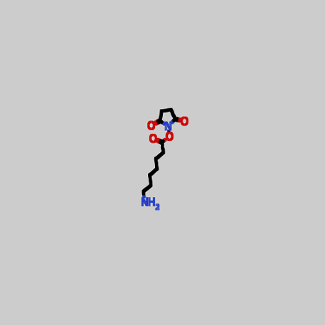 NCCCCCCC(=O)ON1C(=O)CCC1=O